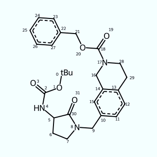 CC(C)(C)OC(=O)NC1CCN(Cc2ccc3c(c2)CN(C(=O)OCc2ccccc2)CC3)C1=O